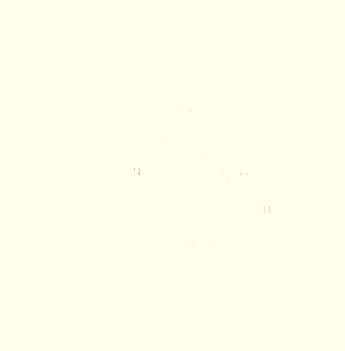 O=C(O)C(O)=CC(=O)c1coc(Cc2ccccn2)c1